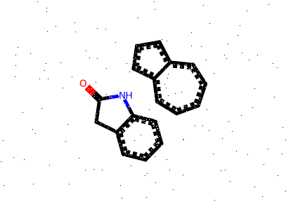 O=C1Cc2ccccc2N1.c1ccc2cccc-2cc1